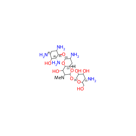 CNC1C(O[C@H]2OC(CO)[C@@H](N)C(O)C2O)O[C@H]2CC(N)[C@@H](O[C@@H]3C(N)C[C@@H](N)C(O)[C@H]3N)OC2C1O